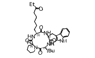 CCC(=O)CCCCC[C@@H]1NC(=O)[C@H]2CCCCN2C(=O)[C@H](C(C)CC)NC(=O)[C@H](Cc2c(Br)[nH]c3ccccc23)NC1=O